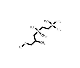 CCOCC(C)C[Si](C)(C)CC[Si](C)(C)C